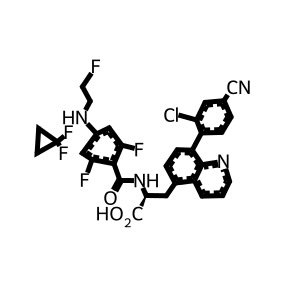 FC1(F)CC1.N#Cc1ccc(-c2ccc(C[C@H](NC(=O)c3c(F)cc(NCCF)cc3F)C(=O)O)c3cccnc23)c(Cl)c1